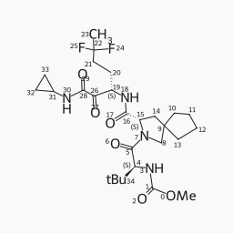 COC(=O)N[C@H](C(=O)N1CC2(CCCC2)C[C@H]1C(=O)N[C@@H](CCC(C)(F)F)C(=O)C(=O)NC1CC1)C(C)(C)C